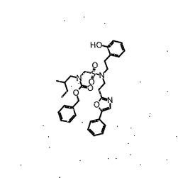 CCC(C)CN(CS(=O)(=O)N(CCc1ncc(-c2ccccc2)o1)CCc1ccccc1O)C(=O)OCc1ccccc1